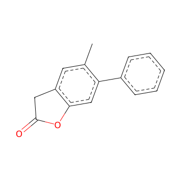 Cc1cc2c(cc1-c1ccccc1)OC(=O)C2